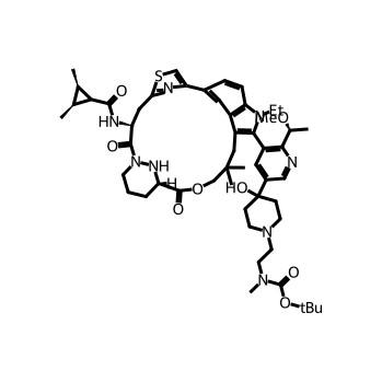 CCn1c(-c2cc(C3(O)CCN(CCN(C)C(=O)OC(C)(C)C)CC3)cnc2[C@H](C)OC)c2c3cc(ccc31)-c1csc(n1)C[C@H](NC(=O)C1[C@@H](C)[C@H]1C)C(=O)N1CCC[C@H](N1)C(=O)OCC(C)(C)C2